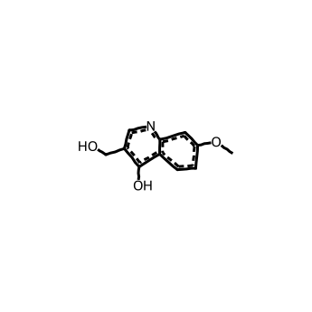 COc1ccc2c(O)c(CO)cnc2c1